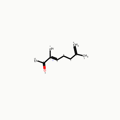 C=C(C)CC/C=C(\CCC)C(=O)CC